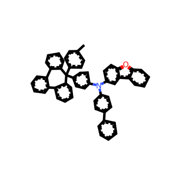 Cc1ccc(C2(c3ccc(N(c4ccc(-c5ccccc5)cc4)c4ccc5oc6ccccc6c5c4)cc3)c3ccccc3-c3ccccc3-c3ccccc32)cc1